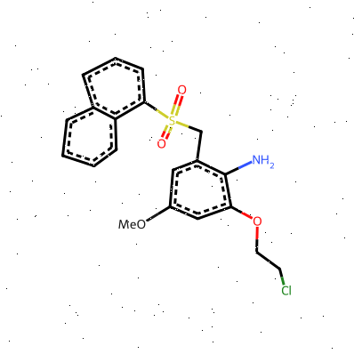 COc1cc(CS(=O)(=O)c2cccc3ccccc23)c(N)c(OCCCl)c1